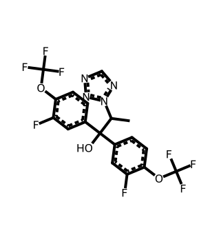 CC(n1ncnn1)C(O)(c1ccc(OC(F)(F)F)c(F)c1)c1ccc(OC(F)(F)F)c(F)c1